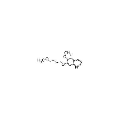 COCCCCOc1cc2ncncc2cc1OC